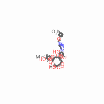 CC[C@H]1OC(=O)[C@H](C)[C@@H](O[C@H]2C[C@@](C)(OC)[C@@H](O)[C@H](C)O2)[C@H](C)[C@@H](O[C@@H]2O[C@H](C)C[C@H](N(C)Cc3cn(CCOc4cccc([N+](=O)[O-])c4)nn3)[C@H]2O)[C@](C)(O)C[C@@H](C)C(=O)[C@H](C)[C@@H](O)[C@]1(C)O